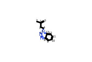 C=C(C)CCn1nnc2ccccc21